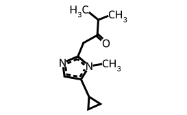 CC(C)C(=O)Cc1ncc(C2CC2)n1C